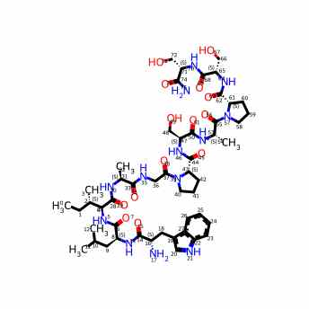 CC[C@H](C)[C@H](NC(=O)[C@H](CC(C)C)NC(=O)[C@@H](N)Cc1c[nH]c2ccccc12)C(=O)N[C@@H](C)C(=O)NCC(=O)N1CCC[C@H]1C(=O)N[C@@H](CO)C(=O)N[C@@H](C)C(=O)N1CCC[C@H]1C(=O)N[C@@H](CO)C(=O)N[C@@H](CO)C(N)=O